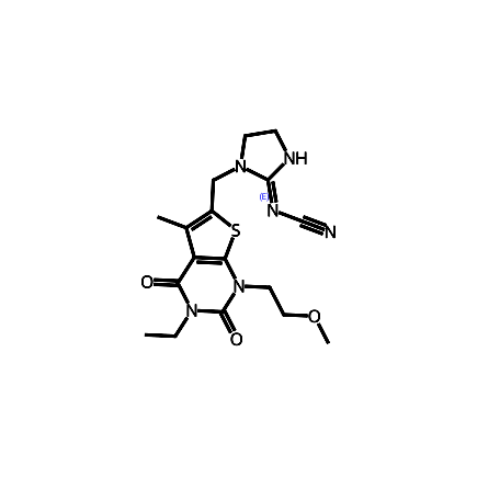 CCn1c(=O)c2c(C)c(CN3CCN/C3=N\C#N)sc2n(CCOC)c1=O